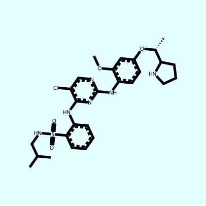 COc1cc(O[C@H](C)C2CCCN2)ccc1Nc1ncc(Cl)c(Nc2ccccc2S(=O)(=O)NCC(C)C)n1